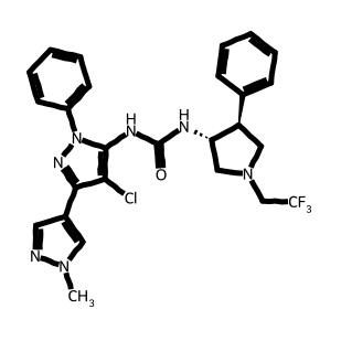 Cn1cc(-c2nn(-c3ccccc3)c(NC(=O)N[C@H]3CN(CC(F)(F)F)C[C@@H]3c3ccccc3)c2Cl)cn1